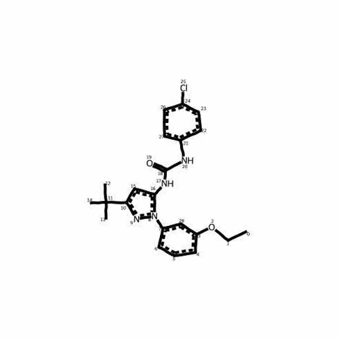 CCOc1cccc(-n2nc(C(C)(C)C)cc2NC(=O)Nc2ccc(Cl)cc2)c1